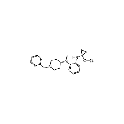 CCOC1(Nc2cccnc2N(C)C2CCN(Cc3ccccc3)CC2)CC1